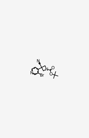 CC(C)(C)OC(=O)N1CC(C#N)(c2ccncc2Br)C1